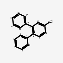 Clc1ccc(-c2ccccc2)c(-c2ccccc2)c1